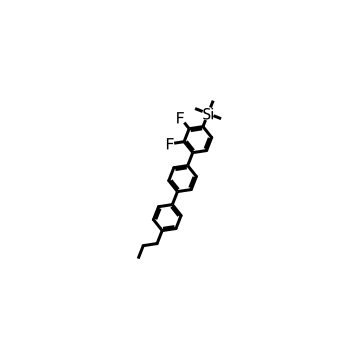 CCCc1ccc(-c2ccc(-c3ccc([Si](C)(C)C)c(F)c3F)cc2)cc1